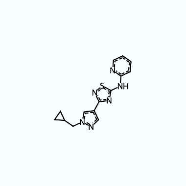 c1ccc(Nc2nc(-c3cnn(CC4CC4)c3)ns2)nc1